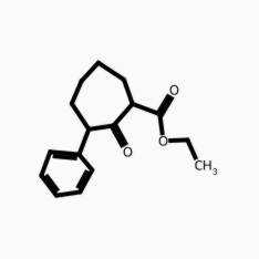 CCOC(=O)C1CCCCC(c2ccccc2)C1=O